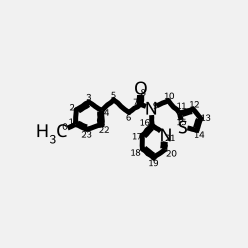 Cc1ccc(CCC(=O)N(Cc2cccs2)c2ccccn2)cc1